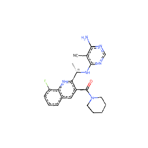 C[C@H](Nc1ncnc(N)c1C#N)c1nc2c(F)cccc2cc1C(=O)N1CCCCC1